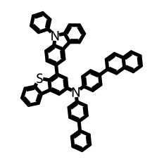 c1ccc(-c2ccc(N(c3ccc(-c4ccc5ccccc5c4)cc3)c3cc(-c4ccc5c(c4)c4ccccc4n5-c4ccccc4)c4sc5ccccc5c4c3)cc2)cc1